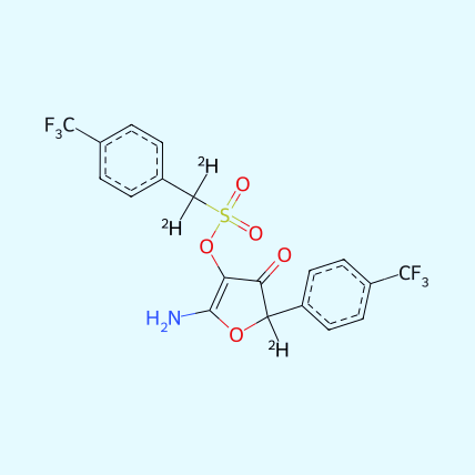 [2H]C1(c2ccc(C(F)(F)F)cc2)OC(N)=C(OS(=O)(=O)C([2H])([2H])c2ccc(C(F)(F)F)cc2)C1=O